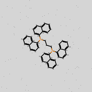 c1ccc2c(P(CCCP(c3cccc4ccccc34)c3cccc4ccccc34)c3cccc4ccccc34)cccc2c1